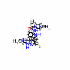 COc1nn(C)cc1Nc1ncc(C)c(-c2c[nH]c3c(NC(=O)C(C)N4CCN(C)CC4)cccc23)n1